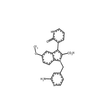 Nc1cc(Cn2c(C(=O)O)c(-c3ccc[nH]c3=O)c3cc(OC(F)(F)F)ccc32)ccn1